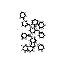 c1ccc(-c2cccc(-n3c4ccccc4c4c(N(c5ccccc5)c5ccccc5)cc(N(c5ccccc5)c5ccc6c(c5)c5c7ccccc7ccc5n6-c5ccccc5)cc43)c2)cc1